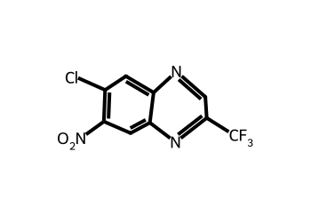 O=[N+]([O-])c1cc2nc(C(F)(F)F)cnc2cc1Cl